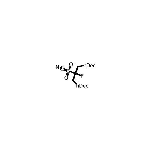 CCCCCCCCCCCC(F)(CCCCCCCCCCC)S(=O)(=O)[O-].[Na+]